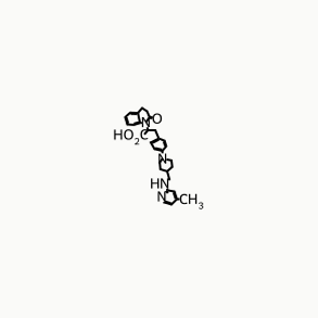 Cc1ccnc(NCC2CCN(c3ccc(CC(C(=O)O)N4C(=O)CCc5ccccc54)cc3)CC2)c1